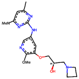 CNc1cc(C)nc(Nc2cnc(OC)c(OC[C@H](O)CN3CCC3)c2)n1